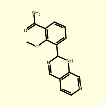 COc1c(C(N)=O)cccc1C1N=Cc2ccncc2N1